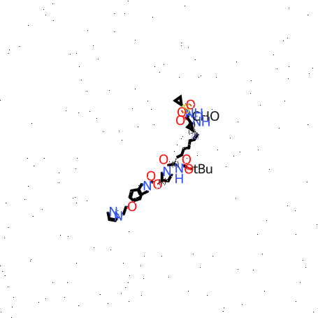 CC(C)(C)OC(=O)N[C@@H](CCCCC/C=C\[C@@H]1C[C@]1(NC=O)C(=O)NS(=O)(=O)C1CC1)C(=O)N1CC[C@@H](OC(=O)N2Cc3ccc(OCCn4cccn4)cc3C2)C1